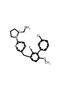 COc1ccc(Cc2ccc(N3CCC[C@H]3CN)nc2)c(F)c1-c1cccc(Cl)c1